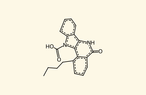 CCCCc1cccc2c(=O)[nH]c3c4ccccc4n(C(=O)O)c3c12